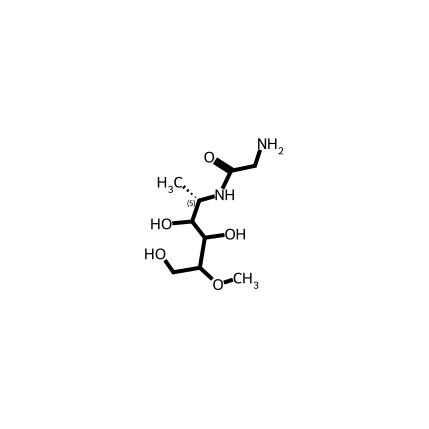 COC(CO)C(O)C(O)[C@H](C)NC(=O)CN